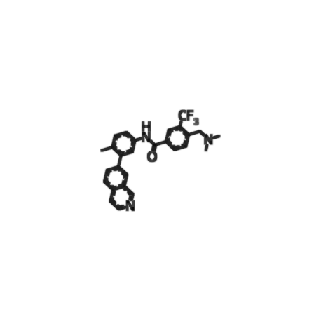 Cc1ccc(NC(=O)c2ccc(CN(C)C)c(C(F)(F)F)c2)cc1-c1ccc2ccncc2c1